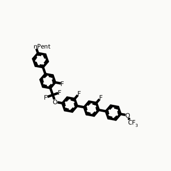 CCCCCc1ccc(-c2ccc(C(F)(F)Oc3ccc(-c4ccc(-c5ccc(OC(F)(F)F)cc5)c(F)c4)c(F)c3)c(F)c2)cc1